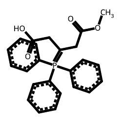 COC(=O)CC(CC(=O)O)=P(c1ccccc1)(c1ccccc1)c1ccccc1